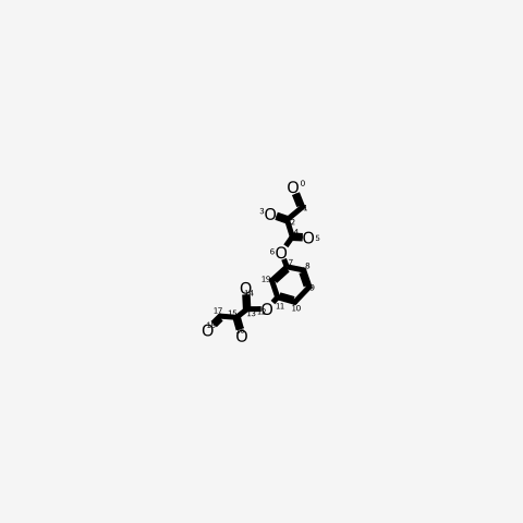 O=CC(=O)C(=O)Oc1cccc(OC(=O)C(=O)C=O)c1